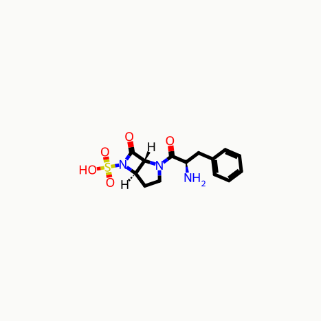 N[C@H](Cc1ccccc1)C(=O)N1CC[C@@H]2[C@@H]1C(=O)N2S(=O)(=O)O